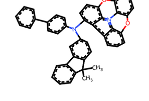 CC1(C)c2ccccc2-c2cc(N(c3ccc(-c4ccccc4)cc3)c3ccc4c5c3c3cccc6c3n5-c3c(cccc3O4)O6)ccc21